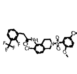 COc1ccc(OC)c(S(=O)(=O)N2CCc3c(ccc(Cl)c3NC(=O)Cc3cccc(C(F)(F)F)c3F)C2)c1